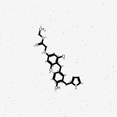 CCOC(=O)COc1cc(Cl)c(Cc2ccc(O)c(Cc3cccs3)c2)c(Cl)c1